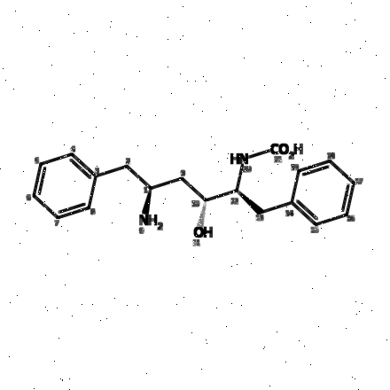 N[C@@H](Cc1ccccc1)C[C@@H](O)[C@H](Cc1ccccc1)NC(=O)O